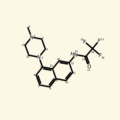 CN1CCN(c2cccc3ccc(NC(=O)C(F)(F)F)cc23)CC1